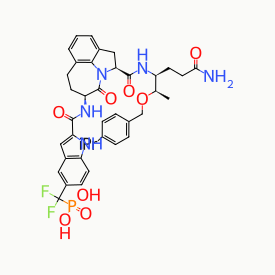 CC(C)c1ccc(CO[C@H](C)[C@H](CCC(N)=O)NC(=O)[C@@H]2Cc3cccc4c3N2C(=O)[C@@H](NC(=O)c2cc3cc(C(F)(F)P(=O)(O)O)ccc3[nH]2)CC4)cc1